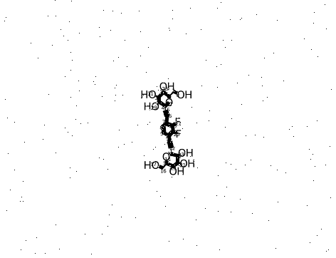 OC[C@H]1O[C@H](C#Cc2ccc(C#C[C@H]3O[C@H](CO)[C@@H](O)[C@H](O)[C@@H]3O)c(F)c2F)[C@@H](O)[C@@H](O)[C@@H]1O